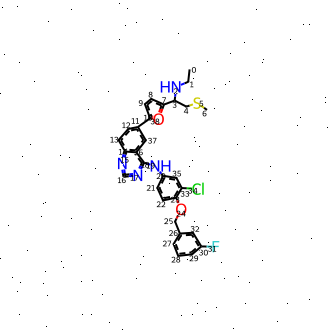 CCNC(CSC)c1ccc(-c2ccc3ncnc(Nc4ccc(OCc5cccc(F)c5)c(Cl)c4)c3c2)o1